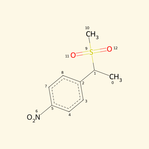 CC(c1ccc([N+](=O)[O-])cc1)S(C)(=O)=O